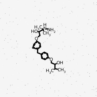 CC(C)C(O)COc1ccc(Cc2ccc(OCC(O)C(C)(C)NN)cc2)cc1